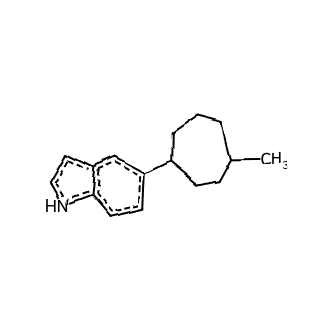 CC1CCCC(c2ccc3[nH]ccc3c2)CC1